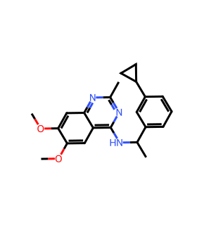 COc1cc2nc(C)nc(NC(C)c3cccc(C4CC4)c3)c2cc1OC